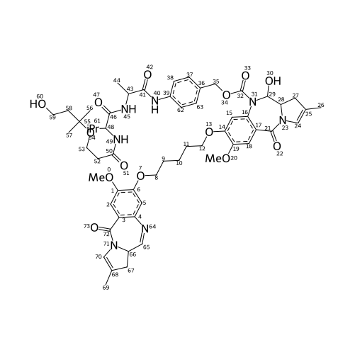 COc1cc2c(cc1OCCCCCOc1cc3c(cc1OC)C(=O)N1C=C(C)CC1C(O)N3C(=O)OCc1ccc(NC(=O)C(C)NC(=O)C(NC(=O)CCOC(C)(C)CCO)C(C)C)cc1)N=CC1CC(C)=CN1C2=O